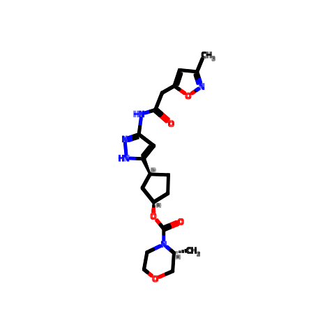 Cc1cc(CC(=O)Nc2cc([C@H]3CC[C@@H](OC(=O)N4CCOC[C@H]4C)C3)[nH]n2)on1